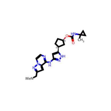 CNCc1cc2c(Nc3cc([C@H]4CC[C@@H](OC(=O)NC5(C)CC5)C4)[nH]n3)nccn2n1